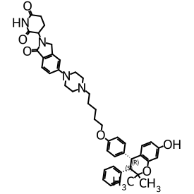 CC1(C)Oc2cc(O)ccc2[C@@H](c2ccc(OCCCCCN3CCN(c4ccc5c(c4)CN(C4CCC(=O)NC4=O)C5=O)CC3)cc2)[C@H]1c1ccccc1